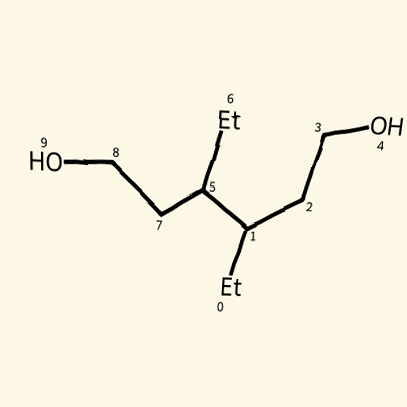 CCC(CCO)C(CC)CCO